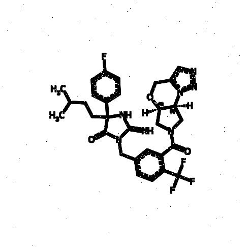 CC(C)CCC1(c2ccc(F)cc2)NC(=N)N(Cc2ccc(C(F)(F)F)c(C(=O)N3C[C@H]4OCc5cnnn5[C@H]4C3)c2)C1=O